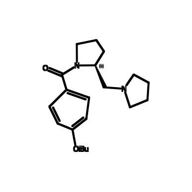 CC(C)COc1ccc(C(=O)N2CCC[C@H]2CN2CCCC2)cc1